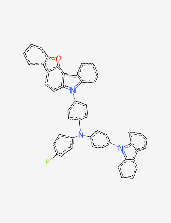 Fc1ccc(N(c2ccc(-n3c4ccccc4c4ccccc43)cc2)c2ccc(-n3c4ccccc4c4c5oc6ccccc6c5ccc43)cc2)cc1